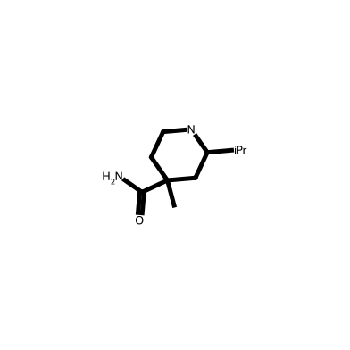 CC(C)C1CC(C)(C(N)=O)CC[N]1